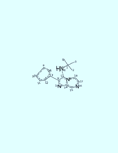 CC(C)(C)Nc1c(-c2ccccc2)nc2cnccn12